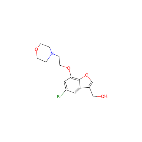 OCc1coc2c(OCCN3CCOCC3)cc(Br)cc12